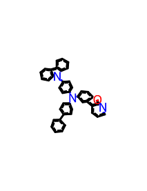 c1ccc(-c2ccc(N(c3ccc(-n4c5ccccc5c5ccccc54)cc3)c3ccc4oc5ncccc5c4c3)cc2)cc1